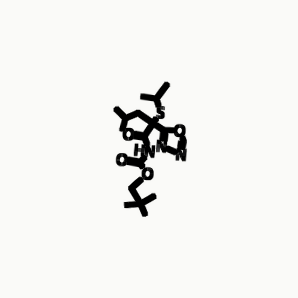 CC(C)CC(SC(C)C)(C(=O)NC(=O)OCC(C)(C)C)c1nnco1